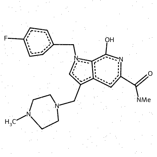 CNC(=O)c1cc2c(CN3CCN(C)CC3)cn(Cc3ccc(F)cc3)c2c(O)n1